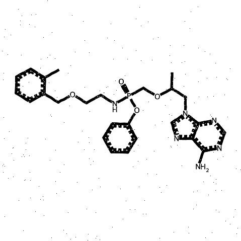 Cc1ccccc1COCCNP(=O)(COC(C)Cn1cnc2c(N)ncnc21)Oc1ccccc1